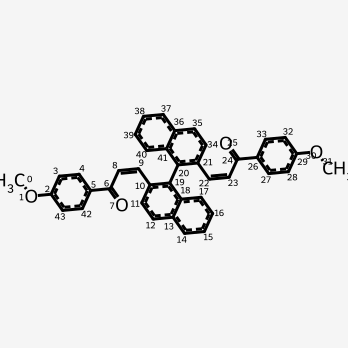 COc1ccc(C(=O)/C=C\c2ccc3ccccc3c2-c2c(/C=C\C(=O)c3ccc(OC)cc3)ccc3ccccc23)cc1